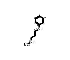 CCNCC=CNc1ccccc1